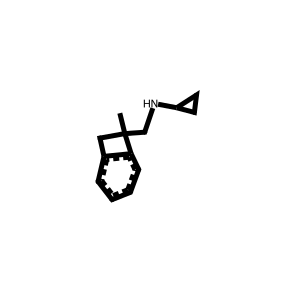 CC1(CNC2CC2)Cc2ccccc21